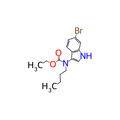 CCCCN(C(=O)OCC)c1c[nH]c2cc(Br)ccc12